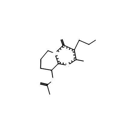 CC(=O)OC1CCCn2c1nc(C)c(CCCl)c2=O